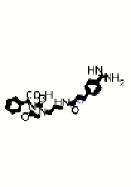 N=C(N)c1ccc(/C=C/C(=O)NCCCN2CC(=O)N(C(C(=O)O)c3ccccc3)C2=O)cc1